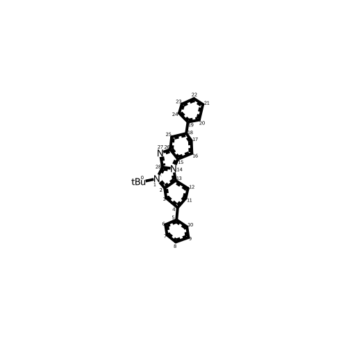 CC(C)(C)n1c2cc(-c3ccccc3)ccc2n2c3ccc(-c4ccccc4)cc3nc12